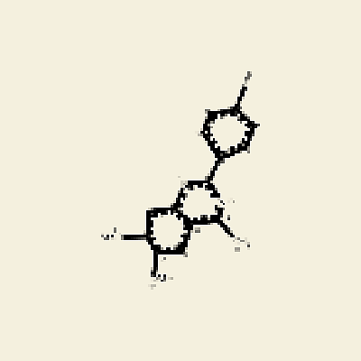 COc1cc2nc(-c3ccc(F)cc3)nc(C)c2cc1OC